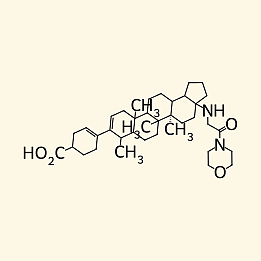 CC1C(C2=CCC(C(=O)O)CC2)=CCC2(C)C1CCC1(C)C2CCC2C3CCCC3(NCC(=O)N3CCOCC3)CC[C@]21C